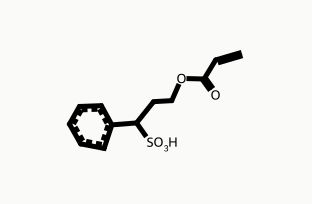 C=CC(=O)OCCC(c1ccccc1)S(=O)(=O)O